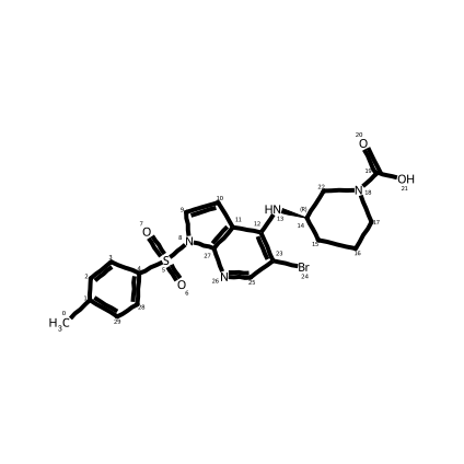 Cc1ccc(S(=O)(=O)n2ccc3c(N[C@@H]4CCCN(C(=O)O)C4)c(Br)cnc32)cc1